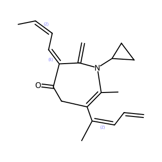 C=C/C=C(/C)C1=C(C)N(C2CC2)C(=C)/C(=C\C=C/C)C(=O)C1